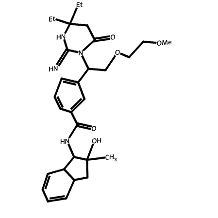 CCC1(CC)CC(=O)N(C(COCCOC)c2cccc(C(=O)NC3C4C=CC=CC4CC3(C)O)c2)C(=N)N1